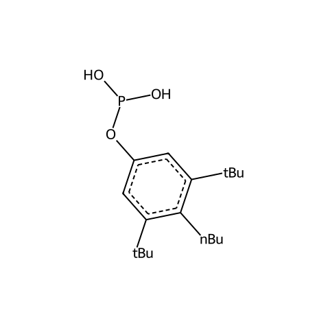 CCCCc1c(C(C)(C)C)cc(OP(O)O)cc1C(C)(C)C